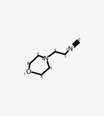 C#[N+]CCN1CCOCC1